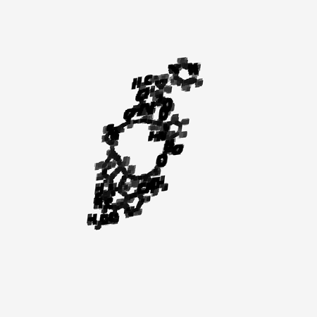 CCO[C@@H]1C2=NC(CS2)c2ccc3c(c2)c(c(-c2cccnc2[C@H](C)OC)n3CC)CC(C)(C)COC(=O)[C@@H]2CCCN(N2)C(=O)[C@H]1NC(=O)[C@H]1[C@H](C)[C@@H]1c1ccncn1